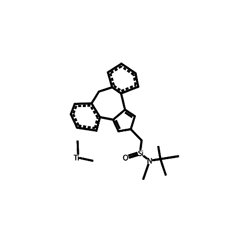 CN([Si](=O)CC1C=C2C(=C1)c1ccccc1Cc1ccccc12)C(C)(C)C.[CH3][Ti][CH3]